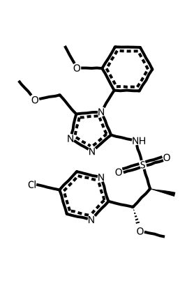 COCc1nnc(NS(=O)(=O)[C@@H](C)[C@H](OC)c2ncc(Cl)cn2)n1-c1ccccc1OC